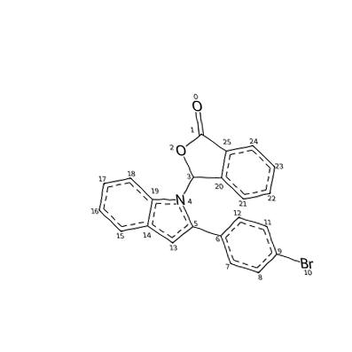 O=C1OC(n2c(-c3ccc(Br)cc3)cc3ccccc32)c2ccccc21